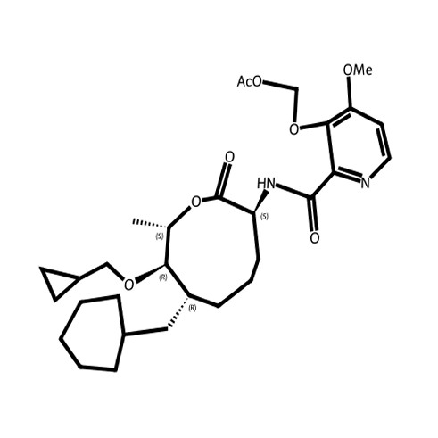 COc1ccnc(C(=O)N[C@H]2CCC[C@H](CC3CCCCC3)[C@@H](OCC3CC3)[C@H](C)OC2=O)c1OCOC(C)=O